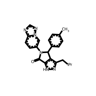 Cc1ccc(C2c3c(CC(C)C)n[nH]c3C(=O)N2c2ccc3ncnn3c2)cc1